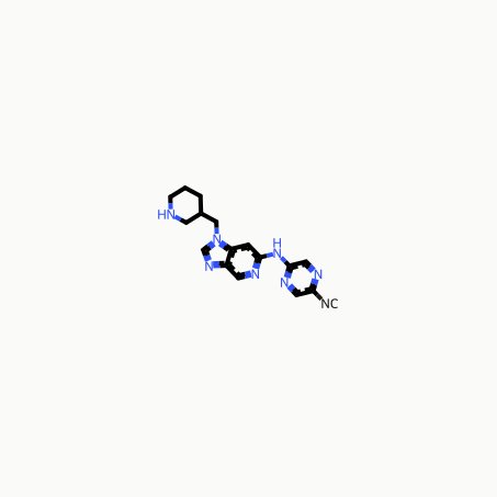 [C-]#[N+]c1cnc(Nc2cc3c(cn2)ncn3CC2CCCNC2)cn1